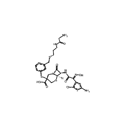 NCC(=O)NCCCSCc1cc(SC2(C(=O)O)CS[C@@H]3[C@H](NC(=O)C(=NO)c4nc(N)sc4Cl)C(=O)N3C2)ccn1